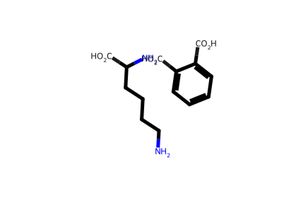 NCCCCC(N)C(=O)O.O=C(O)c1ccccc1C(=O)O